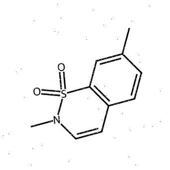 Cc1ccc2c(c1)S(=O)(=O)N(C)C=C2